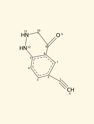 C#Cc1ccc2c(c1)C(=O)[CH]NN2